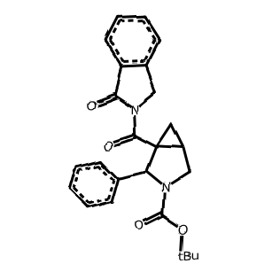 CC(C)(C)OC(=O)N1CC2CC2(C(=O)N2Cc3ccccc3C2=O)C1c1ccccc1